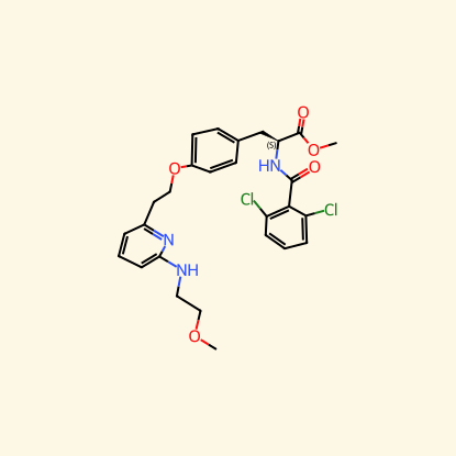 COCCNc1cccc(CCOc2ccc(C[C@H](NC(=O)c3c(Cl)cccc3Cl)C(=O)OC)cc2)n1